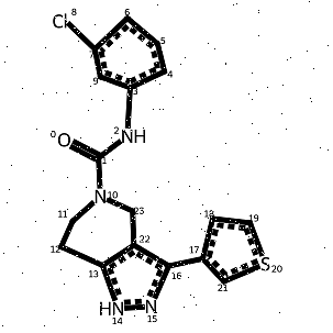 O=C(Nc1cccc(Cl)c1)N1CCc2[nH]nc(-c3ccsc3)c2C1